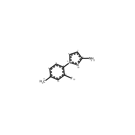 Cc1ccc(-n2ccc(N)n2)c(F)c1